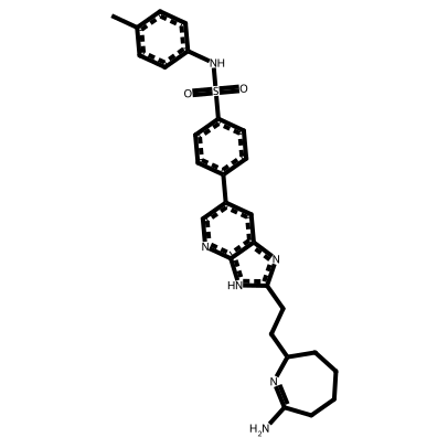 Cc1ccc(NS(=O)(=O)c2ccc(-c3cnc4[nH]c(CCC5CCCCC(N)=N5)nc4c3)cc2)cc1